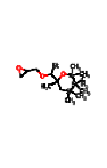 CCC(OCC1CO1)C1(C)C[Si](C)(C)[Si](C)(C)[Si](C)(C)O1